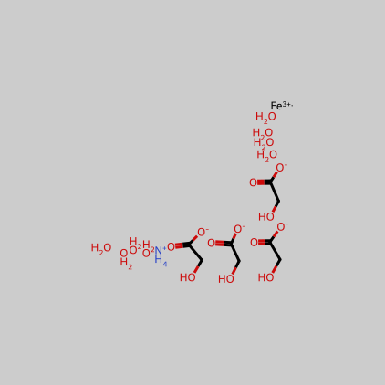 O.O.O.O.O.O.O.O.O=C([O-])CO.O=C([O-])CO.O=C([O-])CO.O=C([O-])CO.[Fe+3].[NH4+]